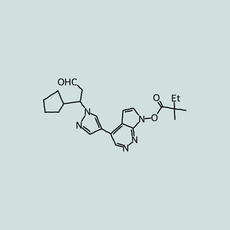 CCC(C)(C)C(=O)On1ccc2c(-c3cnn(C(CC=O)C4CCCC4)c3)cnnc21